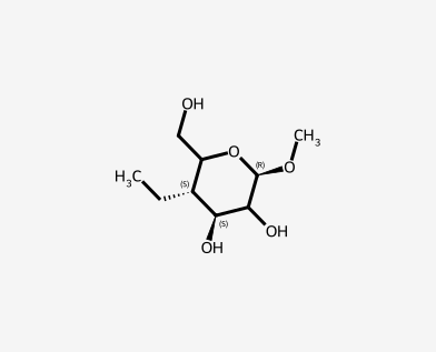 CC[C@@H]1C(CO)O[C@@H](OC)C(O)[C@H]1O